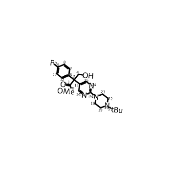 COC(=O)C(CO)(c1ccc(F)cc1)c1cnc(N2CCN(C(C)(C)C)CC2)nc1